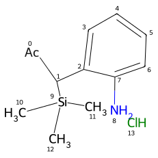 CC(=O)C(c1ccccc1N)[Si](C)(C)C.Cl